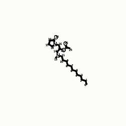 CCCCCCCCCCCCN(C)CC(CN1CCCC1=O)OC(C)=O